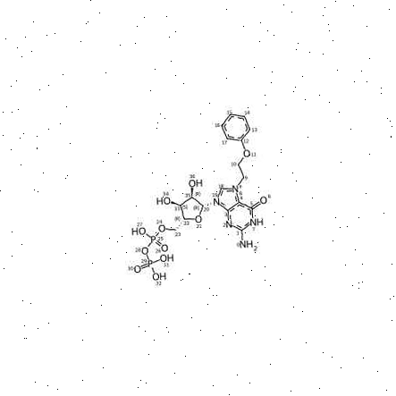 Nc1nc2c(c(=O)[nH]1)[n+](CCOc1ccccc1)cn2[C@@H]1O[C@H](COP(=O)(O)OP(=O)(O)O)[C@@H](O)[C@H]1O